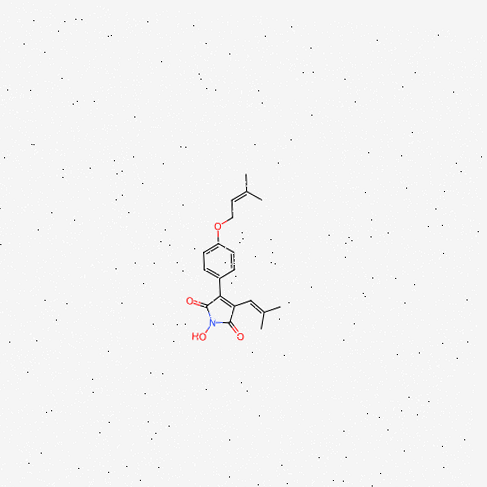 CC(C)=CCOc1ccc(C2=C(C=C(C)C)C(=O)N(O)C2=O)cc1